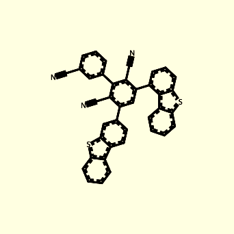 N#Cc1cccc(-c2c(C#N)c(-c3ccc4c(c3)sc3ccccc34)cc(-c3cccc4sc5ccccc5c34)c2C#N)c1